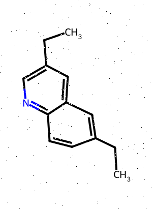 CCc1ccc2ncc(CC)cc2c1